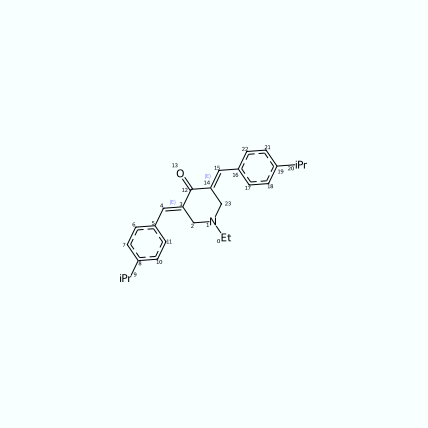 CCN1C/C(=C\c2ccc(C(C)C)cc2)C(=O)/C(=C/c2ccc(C(C)C)cc2)C1